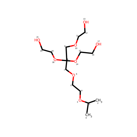 CC(C)OCCOCC(COCCO)(OCCO)OCCO